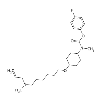 C=CCN(C)CCCCCCOC1CCC(N(C)C(=O)Oc2ccc(F)cc2)CC1